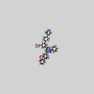 Brc1cc(-c2ccc(-c3ccncc3)cc2)cc(-c2cc(-c3ccc4c(c3)oc3ccccc34)nc(-c3ccccc3)n2)c1